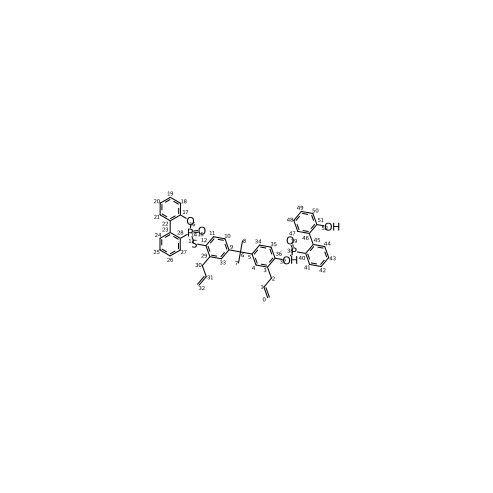 C=CCc1cc(C(C)(C)c2ccc(SP3(=O)Oc4ccccc4-c4ccccc43)c(CC=C)c2)ccc1O[PH](=O)c1ccccc1-c1ccccc1O